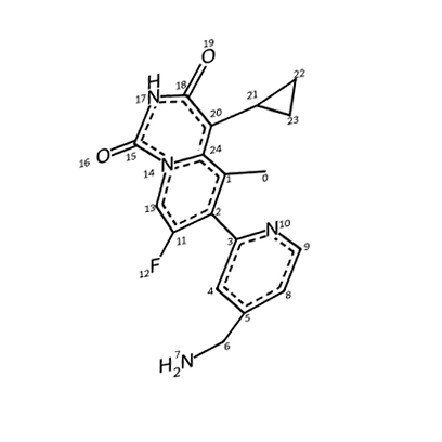 Cc1c(-c2cc(CN)ccn2)c(F)cn2c(=O)[nH]c(=O)c(C3CC3)c12